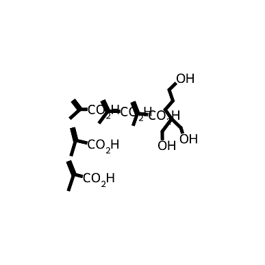 C=C(C)C(=O)O.C=C(C)C(=O)O.C=C(C)C(=O)O.C=C(C)C(=O)O.C=C(C)C(=O)O.OCCCC(CO)CO